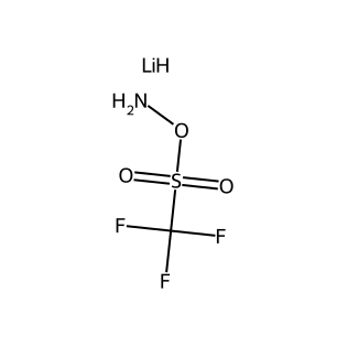 NOS(=O)(=O)C(F)(F)F.[LiH]